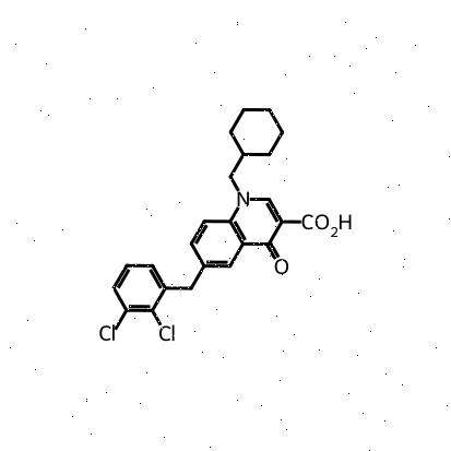 O=C(O)c1cn(CC2CCCCC2)c2ccc(Cc3cccc(Cl)c3Cl)cc2c1=O